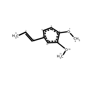 CC=Cc1ccc(OC)c(OC)c1